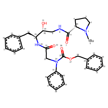 CC(C)(C)N1CCC[C@H]1C(=O)NC[C@@H](O)[C@H](Cc1ccccc1)NC(=O)CN(C(=O)OCc1ccccc1)c1ccccc1